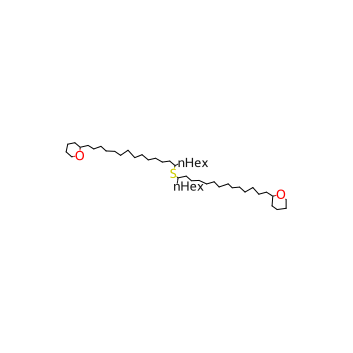 CCCCCCC(CCCCCCCCCCCCCC1CCCCO1)SC(CCCCCC)CCCCCCCCCCCCCC1CCCCO1